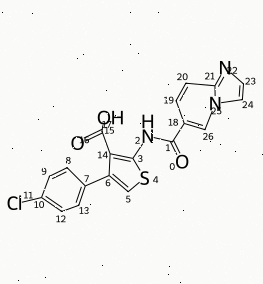 O=C(Nc1scc(-c2ccc(Cl)cc2)c1C(=O)O)c1ccc2nccn2c1